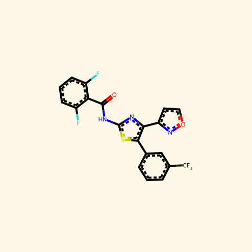 O=C(Nc1nc(-c2ccon2)c(-c2cccc(C(F)(F)F)c2)s1)c1c(F)cccc1F